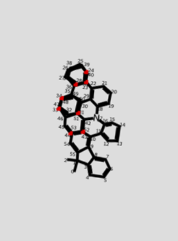 CC1(C)c2ccccc2-c2c(-c3ccccc3N(c3cccc(-c4ccccc4)c3-c3ccccc3-c3ccccc3)c3cccc4ccccc34)cccc21